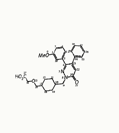 COc1cccc(-c2nn(CC3CCC(COCC(=O)O)CC3)c(=O)cc2-c2ccccc2)c1